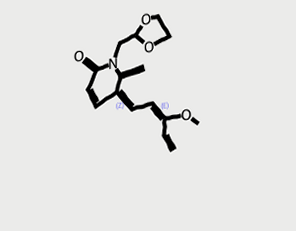 C=C/C(=C\C=c1\ccc(=O)n(CC2OCCO2)c1=C)OC